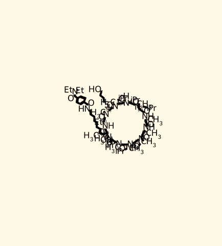 CC[C@@H]1NC(=O)[C@H]([C@H](O)[C@H](C)CCCCCCCNC(=O)c2ccc(C(=O)N(CC)CC)cc2)N(C)C(=O)[C@H](C(C)C)N(C)C(=O)[C@H](CC(C)C)N(C)C(=O)[C@H](CC(C)C)N(C)C(=O)[C@H](C)NC(=O)[C@@H](C)NC(=O)[C@@H](CC(C)C)N(C)C(=O)[C@@H](C(C)C)NC(=O)[C@H](CC(C)C)N(C)C(=O)[C@@H](CSCCCCO)N(C)C1=O